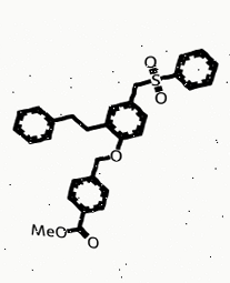 COC(=O)c1ccc(COc2ccc(CS(=O)(=O)c3ccccc3)cc2CCc2ccccc2)cc1